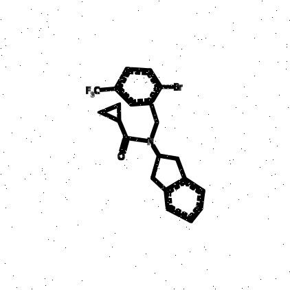 O=C(C1CC1)N(Cc1cc(C(F)(F)F)ccc1Br)C1Cc2ccccc2C1